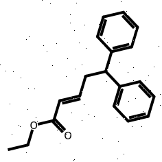 CCOC(=O)C=CCC(c1ccccc1)c1ccccc1